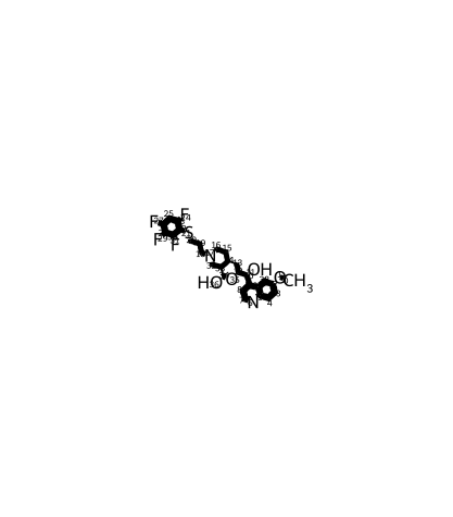 COc1ccc2nccc(C(O)CC[C@@H]3CCN(CCCSc4c(F)cc(F)c(F)c4F)C[C@@H]3C(=O)O)c2c1